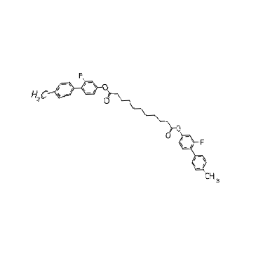 Cc1ccc(-c2ccc(OC(=O)CCCCCCCCCC(=O)Oc3ccc(-c4ccc(C)cc4)c(F)c3)cc2F)cc1